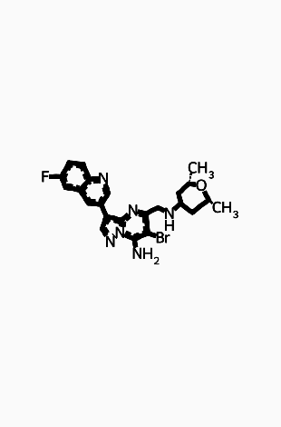 C[C@@H]1CC(NCc2nc3c(-c4cnc5ccc(F)cc5c4)cnn3c(N)c2Br)C[C@H](C)O1